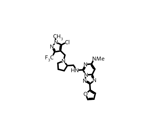 CNc1cc2nc(-c3ccco3)nn2c(NCC2CCCN2Cc2c(C(F)(F)F)nn(C)c2Cl)n1